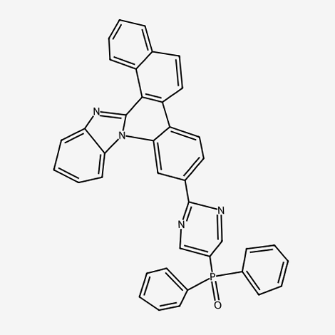 O=P(c1ccccc1)(c1ccccc1)c1cnc(-c2ccc3c4ccc5ccccc5c4c4nc5ccccc5n4c3c2)nc1